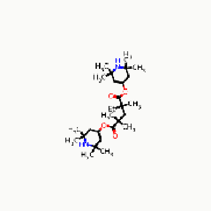 CCC(C)(CC(C)(C)C(=O)OC1CC(C)(C)NC(C)(C)C1)C(=O)OC1CC(C)(C)NC(C)(C)C1